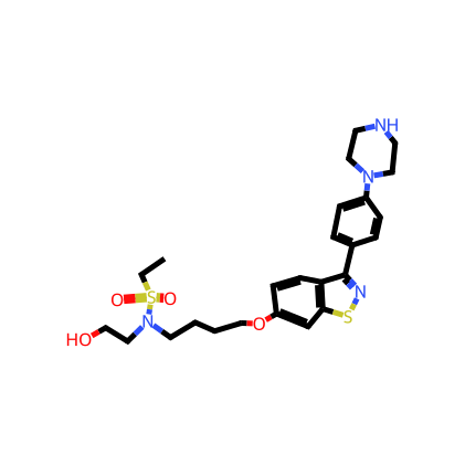 CCS(=O)(=O)N(CCO)CCCCOc1ccc2c(-c3ccc(N4CCNCC4)cc3)nsc2c1